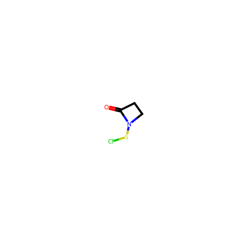 O=C1CCN1SCl